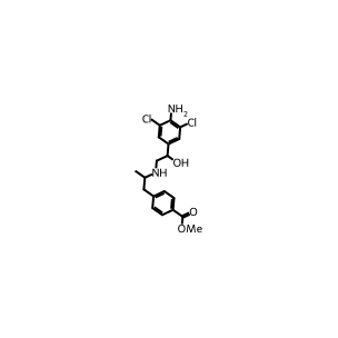 COC(=O)c1ccc(CC(C)NCC(O)c2cc(Cl)c(N)c(Cl)c2)cc1